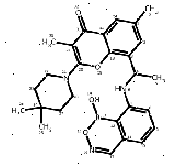 Cc1cc(C(C)Nc2cccc3c2B(O)ON=C3)c2oc(N3CCC(C)(C)CC3)c(C)c(=O)c2c1